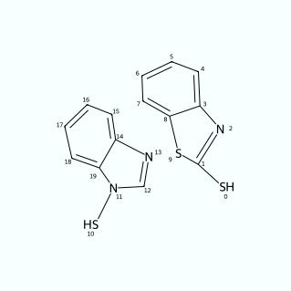 Sc1nc2ccccc2s1.Sn1cnc2ccccc21